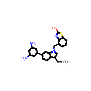 Nc1cc(N)cc(-c2ccc3c(CC(=O)O)cn(Cc4cccc5sc(O)nc45)c3c2)c1